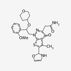 COc1ccccc1C(Cn1nc(CC(N)=O)c(=O)c2c(C)c(C3NC=CO3)sc21)OC1CCOCC1